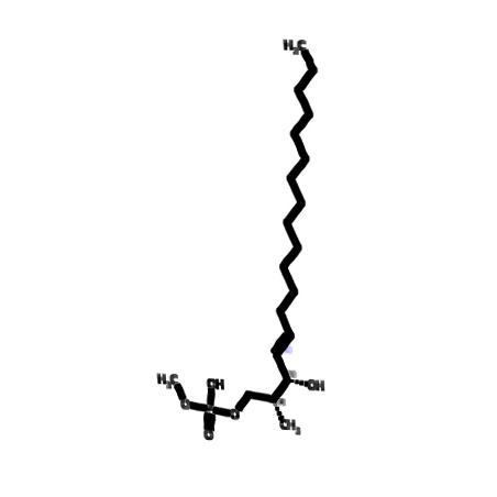 CCCCCCCCCCCCC/C=C/[C@H](O)[C@H](C)COP(=O)(O)OC